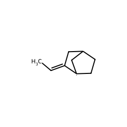 CC=C1CC2CC[C]1C2